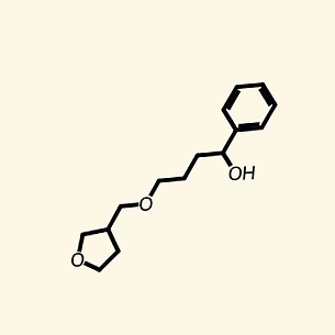 OC(CCCOCC1CCOC1)c1ccccc1